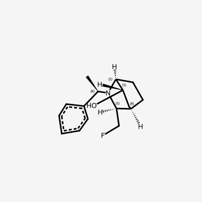 C[C@H](c1ccccc1)N1[C@H](CF)[C@@H]2CC[C@H]1[C@@H](O)C2